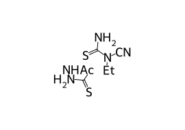 CC(=O)NC(N)=S.CCN(C#N)C(N)=S